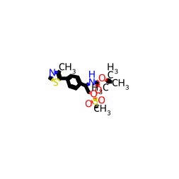 Cc1ncsc1-c1ccc(C(COS(C)(=O)=O)NC(=O)OC(C)(C)C)cc1